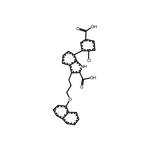 O=C(O)c1ccc(Cl)c(-c2cccc3c(CCCOc4cccc5ccccc45)c(C(=O)O)[nH]c23)c1